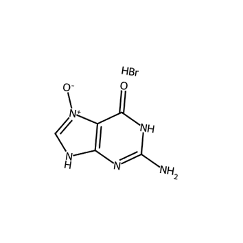 Br.Nc1nc2[nH]c[n+]([O-])c2c(=O)[nH]1